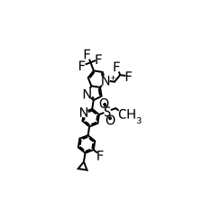 CCS(=O)(=O)c1cc(-c2ccc(C3CC3)c(F)c2)cnc1C1=NC2C=C(C(F)(F)F)C=[N+](CC(F)F)C2=C1